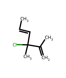 C=C(C)C(C)(Cl)C=CC